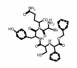 CCC(C)C(N)C(=O)N(C(=O)C(Cc1ccc(O)cc1)NC(=O)C(CS)NC(C(=O)OCc1ccccc1)c1ccccc1)C(CCC(N)=O)C(=O)O